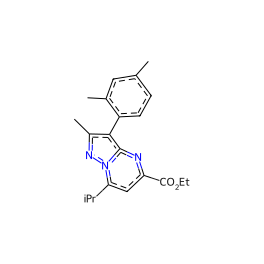 CCOC(=O)c1cc(C(C)C)n2nc(C)c(-c3ccc(C)cc3C)c2n1